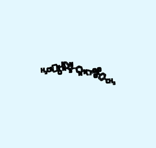 Cc1ccc(S(=O)(=O)O[C@H]2CCN(c3ccc(-c4nc5cnc(N6CCN(C)CC6=O)nc5s4)cn3)C2)cc1